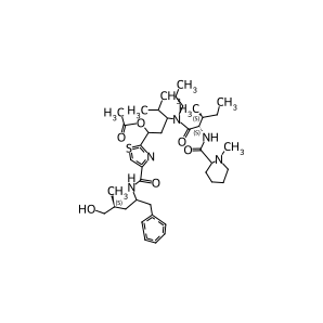 CCCN(C(=O)[C@@H](NC(=O)C1CCCCN1C)[C@@H](C)CC)C(CC(OC(C)=O)c1nc(C(=O)NC(Cc2ccccc2)C[C@H](C)CO)cs1)C(C)C